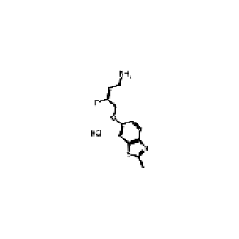 Cc1nc2ccc(OC/C(F)=C\CN)cc2s1.Cl